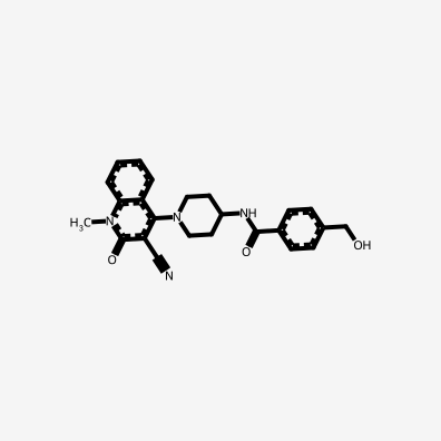 Cn1c(=O)c(C#N)c(N2CCC(NC(=O)c3ccc(CO)cc3)CC2)c2ccccc21